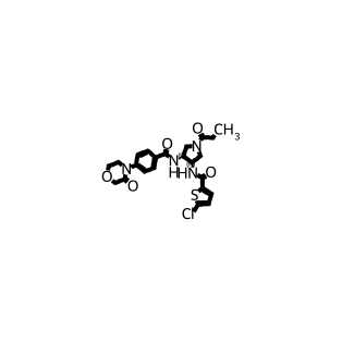 CCC(=O)N1C[C@@H](NC(=O)c2ccc(N3CCOCC3=O)cc2)[C@H](NC(=O)c2ccc(Cl)s2)C1